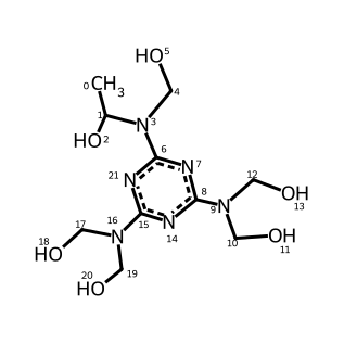 CC(O)N(CO)c1nc(N(CO)CO)nc(N(CO)CO)n1